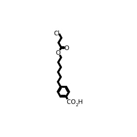 O=C(CCCl)OCCCCCCc1ccc(C(=O)O)cc1